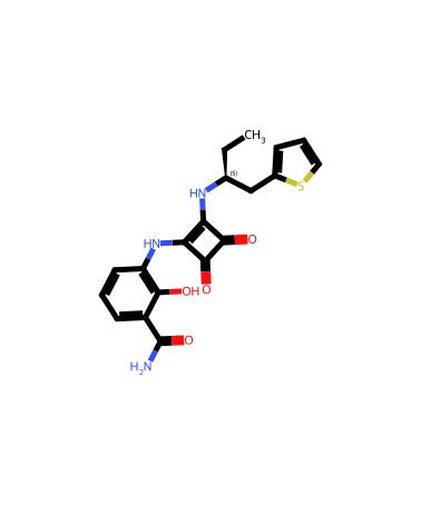 CC[C@@H](Cc1cccs1)Nc1c(Nc2cccc(C(N)=O)c2O)c(=O)c1=O